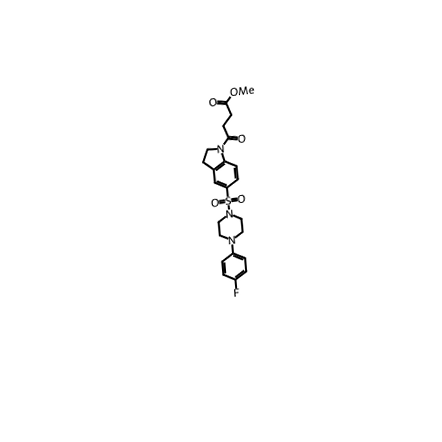 COC(=O)CCC(=O)N1CCc2cc(S(=O)(=O)N3CCN(c4ccc(F)cc4)CC3)ccc21